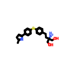 CC1=NC(c2ccc(Sc3ccc(CCC(N)(CO)CO)cc3)cc2)=CC1